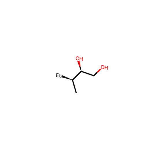 CC[C@H](C)[C@@H](O)CO